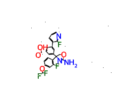 NC1=NC(c2cccc(-c3cccnc3F)c2)(c2ccc(OC(F)F)cc2F)CO1.O=CO